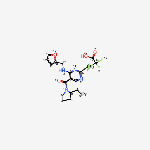 CC(C)CC1CCCN1C(=O)c1cnc(C(C)(C)C)nc1NCc1ccco1.O=C(O)C(F)(F)F